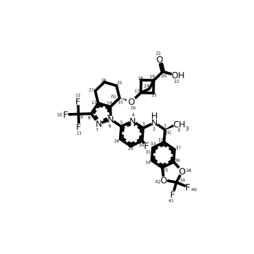 C[C@H](Nc1nc(-n2nc(C(F)(F)F)c3c2[C@@H](OC24CC(C(=O)O)(C2)C4)CCC3)ccc1F)c1ccc2c(c1)OC(F)(F)O2